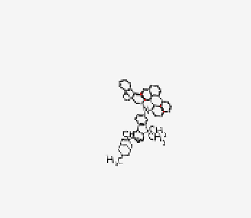 CC1CC2CC(C1)CC(C)(c1ccc3c(c1)-c1ccc(N(c4ccc5c(c4)oc4ccccc45)c4ccccc4-c4cccc5cccc(-c6ccccc6)c45)cc1C3(C)C)C2